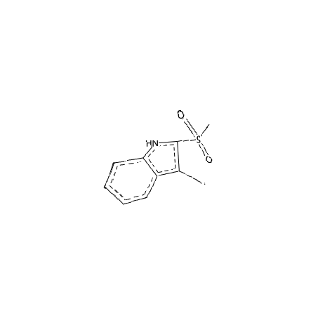 [CH2]c1c(S(C)(=O)=O)[nH]c2ccccc12